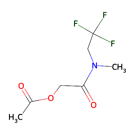 CC(=O)OCC(=O)N(C)CC(F)(F)F